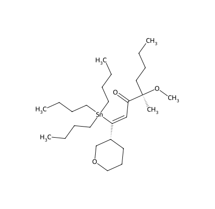 CCCC[C@@](C)(OC)C(=O)C=[C]([C@@H]1CCCOC1)[Sn]([CH2]CCC)([CH2]CCC)[CH2]CCC